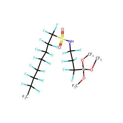 O=S(=O)(NC(F)(F)C(F)(F)C(F)(F)[Si](OC(F)(F)F)(OC(F)(F)F)OC(F)(F)F)C(F)(F)C(F)(F)C(F)(F)C(F)(F)C(F)(F)C(F)(F)C(F)(F)C(F)(F)F